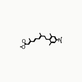 COC(=O)/C=C(\C)C=CC=C(C)CCc1c(C)cc(N(C)C)cc1C